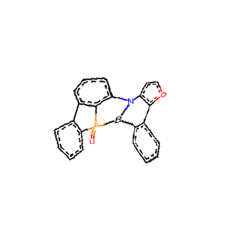 O=P12B3c4ccccc4-c4occc4N3c3cccc(c31)-c1ccccc12